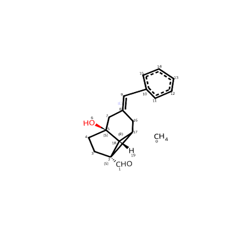 C.O=C[C@@]12CC[C@]3(O)C/C(=C/c4ccccc4)CC1[C@@H]32